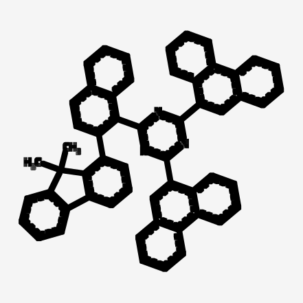 CC1(C)c2ccccc2-c2cccc(-c3ccc4ccccc4c3-c3nc(-c4cc5ccccc5c5ccccc45)nc(-c4cc5ccccc5c5ccccc45)n3)c21